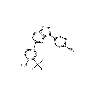 Nc1ncc(-c2cnc3ccc(-c4cnc(N)c(C(F)(F)F)c4)nn23)cn1